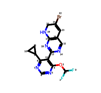 FC(F)Oc1ncnc(C2CC2)c1-c1ncc2c(n1)NCC(Br)=C2